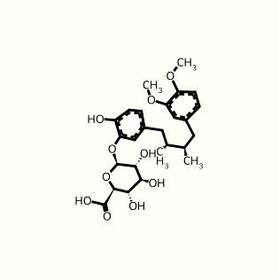 COc1ccc(C[C@@H](C)[C@@H](C)Cc2ccc(O)c(O[C@@H]3O[C@H](C(=O)O)[C@@H](O)[C@H](O)[C@H]3O)c2)cc1OC